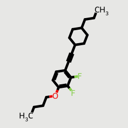 CCCCOc1ccc(C#CC2CCC(CCC)CC2)c(F)c1F